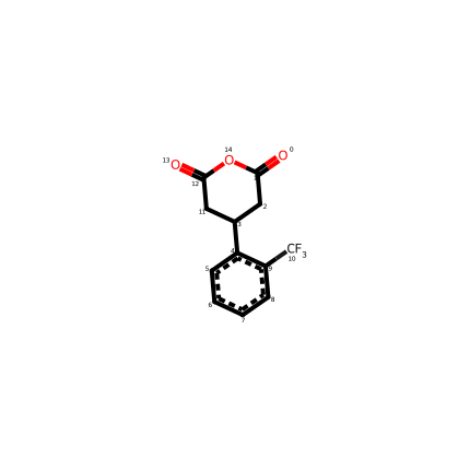 O=C1CC(c2ccccc2C(F)(F)F)CC(=O)O1